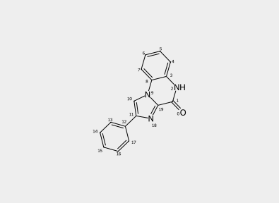 O=c1[nH]c2ccccc2n2cc(-c3ccccc3)nc12